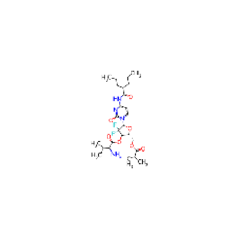 CCCC(CCC)C(=O)Nc1ccn([C@@H]2O[C@H](COC(=O)C(C)C)[C@@H](OC(=O)[C@@H](N)C(C)C)C2(F)F)c(=O)n1